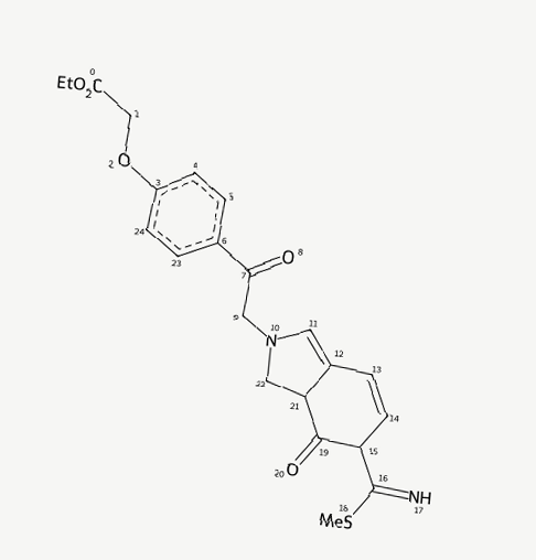 CCOC(=O)COc1ccc(C(=O)CN2C=C3C=CC(C(=N)SC)C(=O)C3C2)cc1